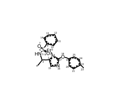 CCn1c(C(C)NS(=O)(=O)c2ccccc2)cnc1Oc1ccc(C)cc1